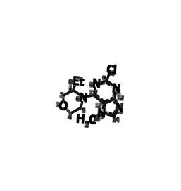 CCC1COCCN1c1nc(Cl)nc2ncn(C)c12